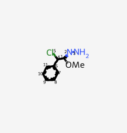 CO/C(=N\N)C(Cl)c1ccccc1